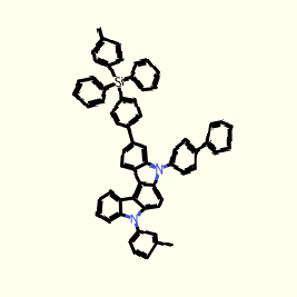 Cc1ccc([Si](c2ccccc2)(c2ccccc2)c2ccc(-c3ccc4c5c6c7ccccc7n(-c7cccc(C)c7)c6ccc5n(-c5ccc(-c6ccccc6)cc5)c4c3)cc2)cc1